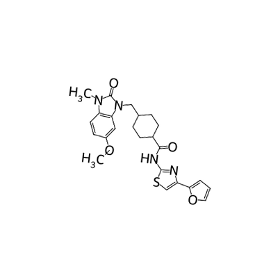 COc1ccc2c(c1)n(CC1CCC(C(=O)Nc3nc(-c4ccco4)cs3)CC1)c(=O)n2C